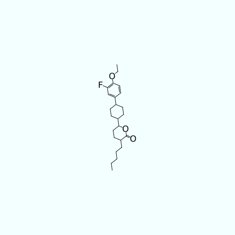 CCCCCC1CCC(C2CCC(c3ccc(OCC)c(F)c3)CC2)OC1=O